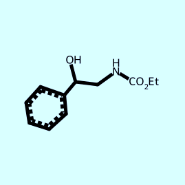 CCOC(=O)NCC(O)c1ccccc1